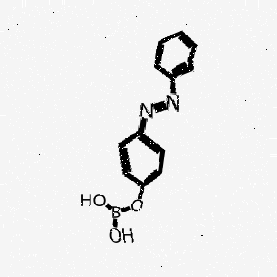 OB(O)Oc1ccc(/N=N/c2ccccc2)cc1